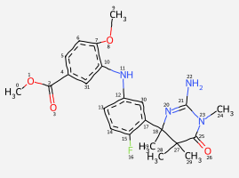 COC(=O)c1ccc(OC)c(Nc2ccc(F)c(C3(C)N=C(N)N(C)C(=O)C3(C)C)c2)c1